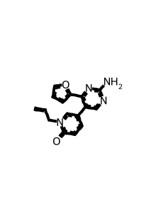 C=CCn1cc(-c2cnc(N)nc2-c2ccco2)ccc1=O